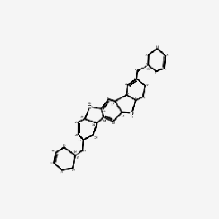 C1=CC[C@@H](CC2=CC3C(CC2)OC2C=C4C(=CC23)OC2C=CC(C[C@@H]3CC=CCC3)CC42)CC1